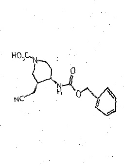 N#CC[C@H]1CN(C(=O)O)CC[C@H]1NC(=O)OCc1ccccc1